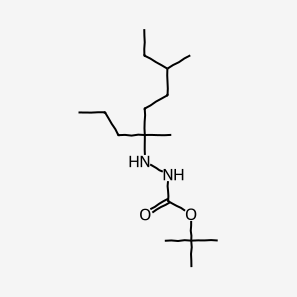 CCCC(C)(CCC(C)CC)NNC(=O)OC(C)(C)C